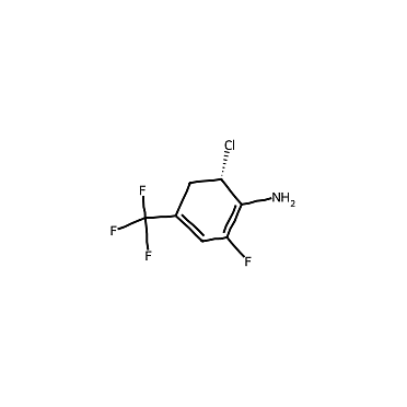 NC1=C(F)C=C(C(F)(F)F)C[C@@H]1Cl